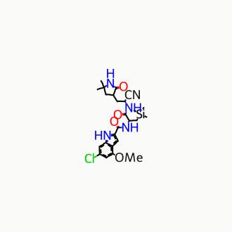 COc1cc(Cl)cc2[nH]c(C(=O)NC(C[Si](C)(C)C)C(=O)NC(C#N)CC3CC(C)(C)NC3=O)cc12